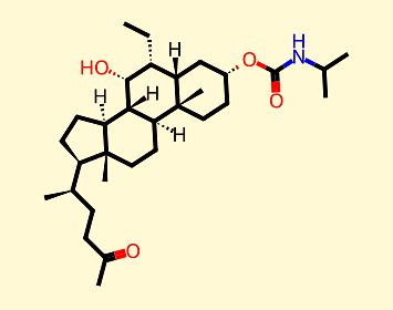 CC[C@H]1[C@@H](O)[C@@H]2[C@H](CC[C@]3(C)[C@@H]([C@H](C)CCC(C)=O)CC[C@@H]23)[C@@]2(C)CC[C@@H](OC(=O)NC(C)C)C[C@@H]12